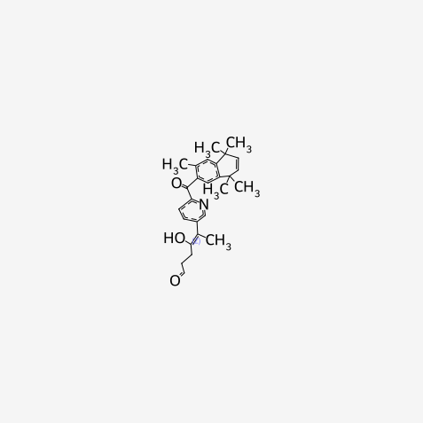 C/C(=C(/O)CCC=O)c1ccc(C(=O)c2cc3c(cc2C)C(C)(C)C=CC3(C)C)nc1